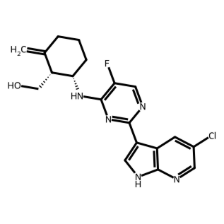 C=C1CCC[C@H](Nc2nc(-c3c[nH]c4ncc(Cl)cc34)ncc2F)[C@@H]1CO